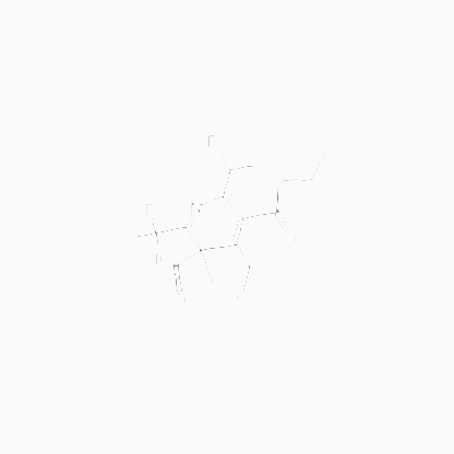 CCOC(=O)C1=C(COC)C(C)(C(=O)O)C(C(F)(F)F)=NC1C(F)F